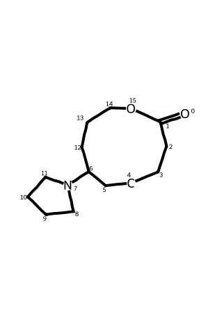 O=C1CCCCC(N2CCCC2)CCCO1